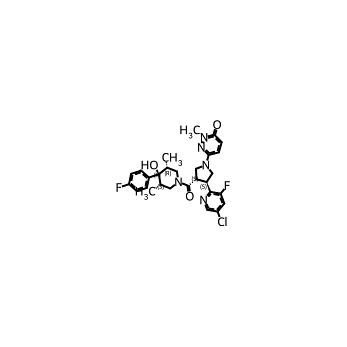 C[C@@H]1CN(C(=O)[C@@H]2CN(c3ccc(=O)n(C)n3)C[C@H]2c2ncc(Cl)cc2F)C[C@H](C)[C@]1(O)c1ccc(F)cc1